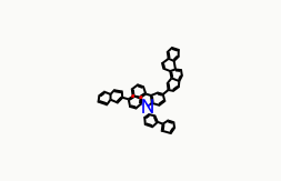 C1=CC2C=CC(c3ccc(N(c4cccc(-c5ccccc5)c4)c4ccc(-c5ccc6ccc7c8ccccc8ccc7c6c5)cc4-c4ccccc4)cc3)=CC2C=C1